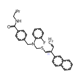 C=C/C(=C\SCN(Cc1ccc(C(=O)NCC(C)C)cc1)c1ccccc1F)c1ccc2ccccc2c1